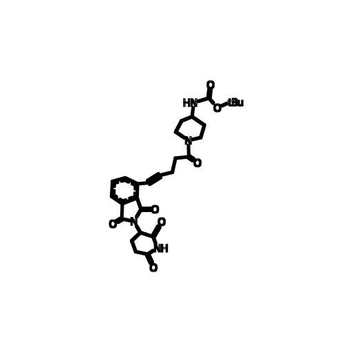 CC(C)(C)OC(=O)NC1CCN(C(=O)CCC#Cc2cccc3c2C(=O)N(C2CCC(=O)NC2=O)C3=O)CC1